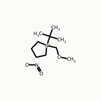 COC[N+]1(C(C)(C)C)CCCC1.O=N[O-]